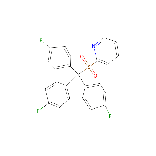 O=S(=O)(c1ccccn1)C(c1ccc(F)cc1)(c1ccc(F)cc1)c1ccc(F)cc1